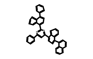 c1ccc(-c2cc(-c3ccc(-c4cccc5ccccc45)c4ccccc34)nc(-c3ccc(-c4ccccc4)c4ccccc34)n2)cc1